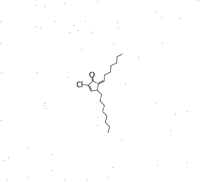 CCCCCCC=C1C(=O)C(Cl)=CC1CCCCCCCC